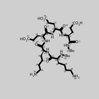 CC(C)(C)NC(=O)[C@H](CCC(=O)O)NC(=O)[C@H](CCC(=O)O)NC(=O)[C@H](CCC(=O)O)NC(=O)[C@H](CCCCN)NC(=O)[C@H](CCCCN)NC(C)(C)C